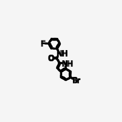 O=C(Nc1cccc(F)c1)c1cc2ccc(Br)cc2[nH]1